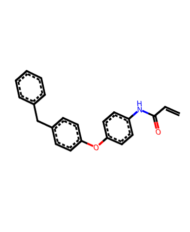 C=CC(=O)Nc1ccc(Oc2ccc(Cc3ccccc3)cc2)cc1